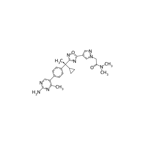 Cc1nc(N)ncc1-c1ccc([C@](C)(c2noc(-c3cnn(CC(=O)N(C)C)c3)n2)C2CC2)cc1